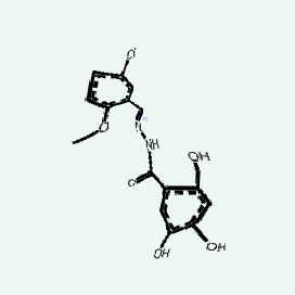 COc1ccc(Cl)cc1/C=N/NC(=O)c1cc(O)c(O)cc1O